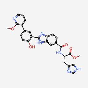 COC(=O)[C@H](Cc1c[nH]cn1)NC(=O)c1ccc2nc(-c3cc(-c4cccnc4OC)ccc3O)[nH]c2c1